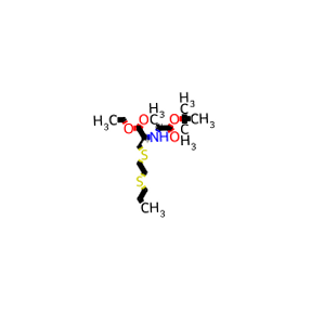 CCCSCCSC[C@H](N[C@@H](C)C(=O)OC(C)(C)C)C(=O)OCC